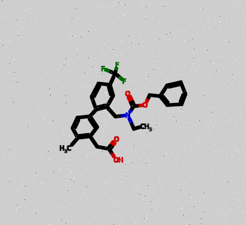 CCN(Cc1cc(C(F)(F)F)ccc1-c1ccc(C)c(CC(=O)O)c1)C(=O)OCc1ccccc1